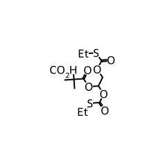 CCSC(=O)OCC(OC(=O)SCC)OC(=O)C(C)(C)C(=O)O